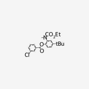 CCOC(=O)N(C)c1cc(C(C)(C)C)ccc1OC(=O)c1cccc(Cl)c1